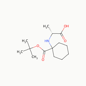 C[C@@H](NC1(C(=O)OC(C)(C)C)CCCCC1)C(=O)O